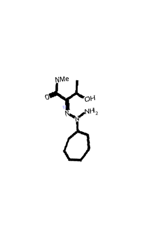 CNC(=O)/C(=N/N(N)C1CCCCCC1)C(C)O